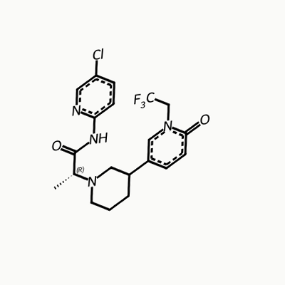 C[C@H](C(=O)Nc1ccc(Cl)cn1)N1CCCC(c2ccc(=O)n(CC(F)(F)F)c2)C1